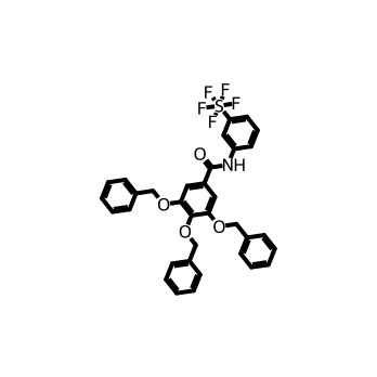 O=C(Nc1cccc(S(F)(F)(F)(F)F)c1)c1cc(OCc2ccccc2)c(OCc2ccccc2)c(OCc2ccccc2)c1